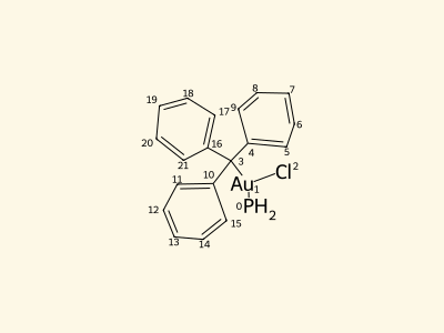 [PH2][Au]([Cl])[C](c1ccccc1)(c1ccccc1)c1ccccc1